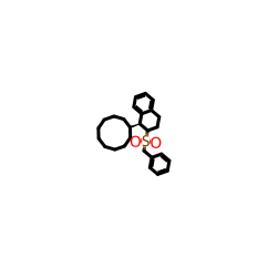 O=S(=O)(Cc1ccccc1)C1CCc2ccccc2[C@@H]1C1CCCCCCCCC1